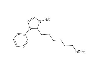 CCCCCCCCCCCCCCCCC1N(CC)C=CN1c1ccccc1